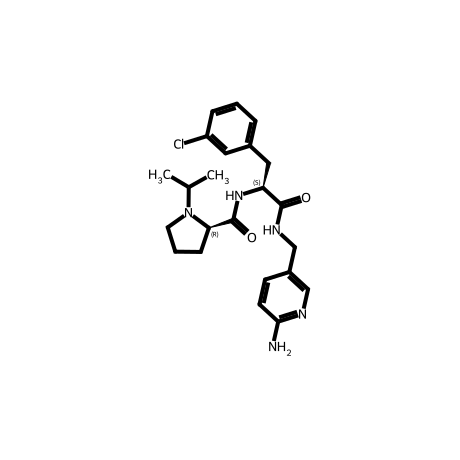 CC(C)N1CCC[C@@H]1C(=O)N[C@@H](Cc1cccc(Cl)c1)C(=O)NCc1ccc(N)nc1